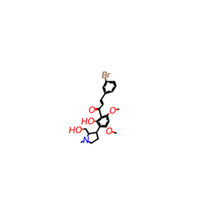 COc1cc(OC)c(C2CCN(C)C2CO)c(O)c1C(=O)C=Cc1cccc(Br)c1